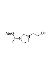 COC(C)N1CCN(CCO)C1